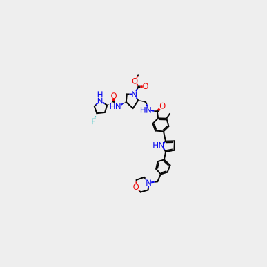 COC(=O)N1C[C@H](NC(=O)[C@@H]2C[C@H](F)CN2)C[C@@H]1CNC(=O)c1ccc(-c2ccc(-c3ccc(CN4CCOCC4)cc3)[nH]2)cc1C